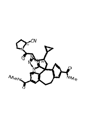 CNC(=O)c1ccc2c(c1)CCc1cc(C(=O)NC)ccc1C2(C[C@@H](NCC(=O)N1CCC[C@H]1C#N)C1CC1)c1nnn[nH]1